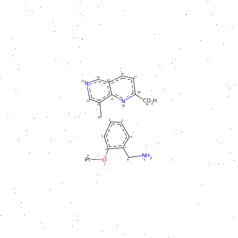 CC(C)Oc1ccccc1CN.Cc1cncc2ccc(C(=O)O)nc12